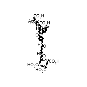 CC(=O)[C@@H](CCC(=O)O)NC(=O)N[C@H](CCCCN(Cc1ccc(Br)nc1)C(=O)c1ccc(CNC(=O)CCCCNC(=O)CN2CCN(CC(=O)O)CCN(CC(=O)O)CCN(CC(=O)O)CC2)cc1)C(=O)O